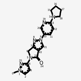 Cn1ccc(N2Cc3nn(-c4ccc(N5CCCC5)nc4)cc3C2=O)n1